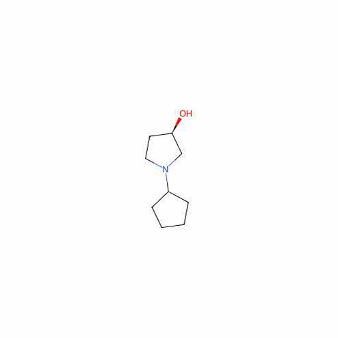 O[C@@H]1CCN(C2CCCC2)C1